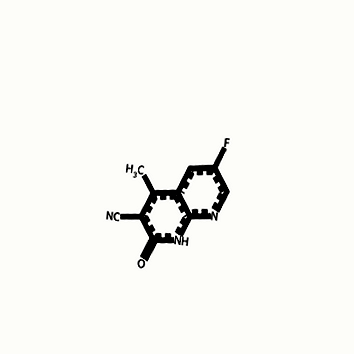 Cc1c(C#N)c(=O)[nH]c2ncc(F)cc12